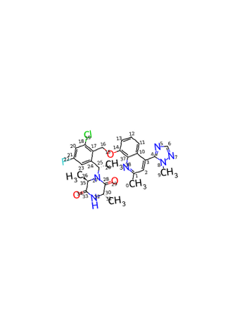 Cc1cc(-c2ncnn2C)c2cccc(OCc3c(Cl)cc(F)cc3[C@H](C)N3C(=O)[C@H](C)NC(=O)[C@H]3C)c2n1